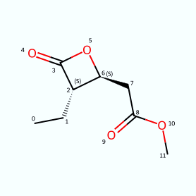 CC[C@@H]1C(=O)O[C@H]1CC(=O)OC